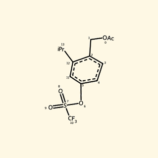 CC(=O)OCc1ccc(OS(=O)(=O)C(F)(F)F)cc1C(C)C